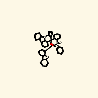 O=P1(c2ccccc2)c2ccccc2C2(c3ccccc3-n3c4ccccc4c4cccc2c43)c2cc(-c3cccc4c3OC3C=CC=CC43)ccc21